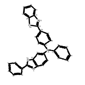 c1ccc(-c2nc3ccc(N(c4ccccc4)c4ccc(-c5nc6ccccc6o5)cc4)cc3o2)cc1